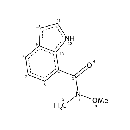 CON(C)C(=O)c1cccc2cc[nH]c12